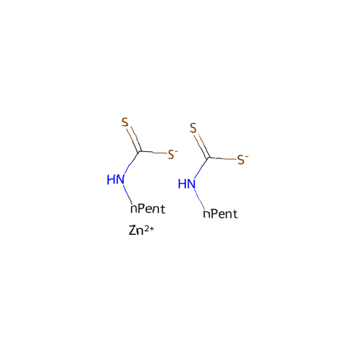 CCCCCNC(=S)[S-].CCCCCNC(=S)[S-].[Zn+2]